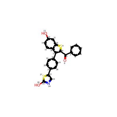 O=C(c1ccccc1)c1sc2cc(O)ccc2c1-c1ccc(-c2cnc(O)s2)cc1